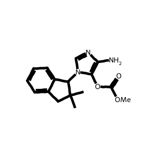 COC(=O)Oc1c(N)ncn1C1c2ccccc2CC1(C)C